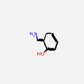 NC=C1CC=CC=C1O